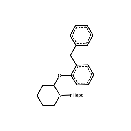 CCCCCCCN1CCCCC1Oc1ccccc1Cc1ccccc1